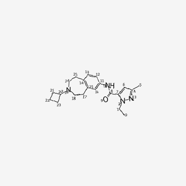 CCn1nc(C)cc1C(=O)Nc1ccc2c(c1)CCN(C1CCC1)CC2